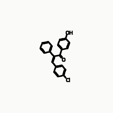 O=C(C(=Cc1ccc(Cl)cc1)c1ccccc1)c1ccc(O)cc1